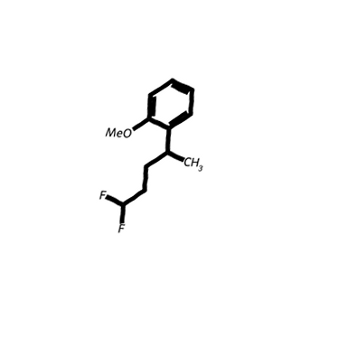 COc1ccccc1C(C)CCC(F)F